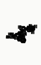 CNC(=N)NCCC[C@H](NS(=O)(=O)c1cccc2ccccc12)C(=O)N[C@@H](CC(C)C)B1O[C@@H]2C[C@@H]3C[C@@H](C3(C)C)[C@]2(C)O1